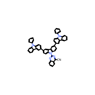 N#Cc1nc(-n2c3ccc(-c4ccc5c(c4)c4ccccc4n5-c4ccccc4)cc3c3cc(-c4ccc5c(c4)c4ccccc4n5-c4ccccc4)ccc32)nc2ccccc12